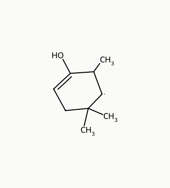 CC1[CH]C(C)(C)CC=C1O